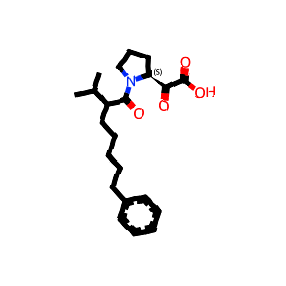 CC(C)C(CCCCCc1ccccc1)C(=O)N1CCC[C@H]1C(=O)C(=O)O